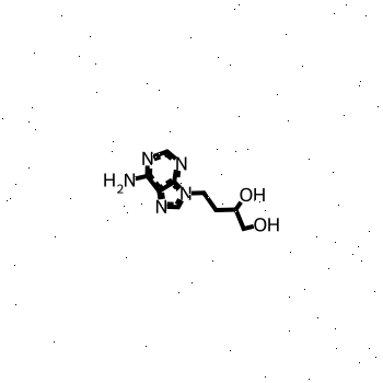 Nc1ncnc2c1ncn2CCC(O)CO